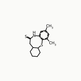 Cc1cc(C)c2c(c1)NC(=S)CC1CCCCC1S2